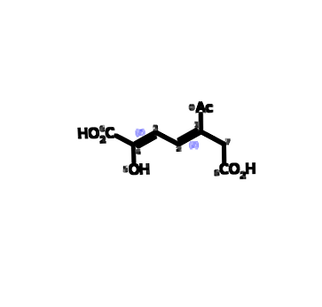 CC(=O)/C(=C\C=C(/O)C(=O)O)CC(=O)O